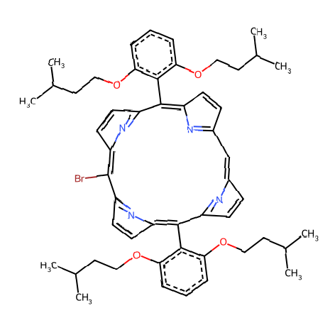 CC(C)CCOc1cccc(OCCC(C)C)c1C1=C2C=CC(=N2)C=C2C=CC(=N2)C(c2c(OCCC(C)C)cccc2OCCC(C)C)=C2C=CC(=N2)C(Br)=C2C=CC1=N2